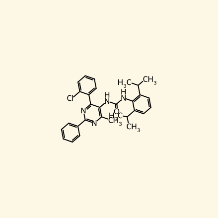 Cc1nc(-c2ccccc2)nc(-c2ccccc2Cl)c1NC(=O)Nc1c(C(C)C)cccc1C(C)C